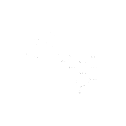 COc1cc(-n2cnc(Nc3nc(N4CCC[C@H]4C(N)=O)c4ccccc4n3)c2)cc(OC)c1OC